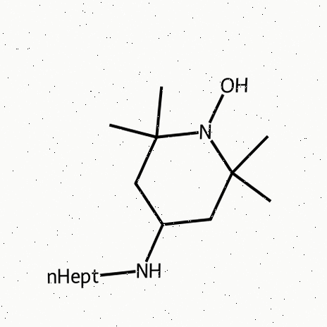 CCCCCCCNC1CC(C)(C)N(O)C(C)(C)C1